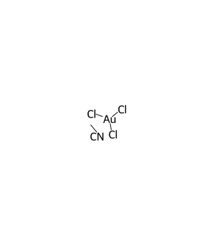 CC#N.[Cl][Au]([Cl])[Cl]